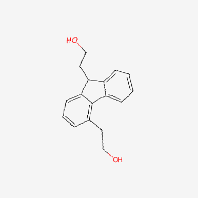 OCCc1cccc2c1-c1ccccc1C2CCO